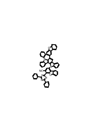 N#Cc1cc(-n2c3ccccc3c3cc(-c4ccc5oc6ccccc6c5c4)c4c(c5ccccc5n4-c4ccccc4)c32)c2c(oc3ccccc32)c1-c1nc(-c2ccccc2)nc(-c2ccccc2)n1